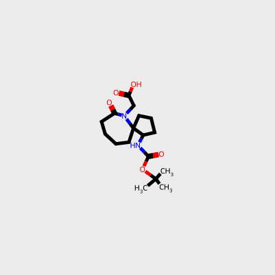 CC(C)(C)OC(=O)NC1CCCC12CCCCC(=O)N2CC(=O)O